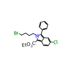 CCOC(=O)c1c2ccc(Cl)cc2c(-c2ccccc2)n1CCCCBr